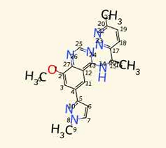 COc1cc(-c2ccn(C)n2)cc2c(N[C@H](C)c3ccc(C)nn3)ncnc12